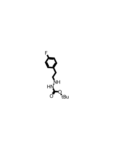 CC(C)(C)OC(=O)NNCCc1ccc(F)cc1